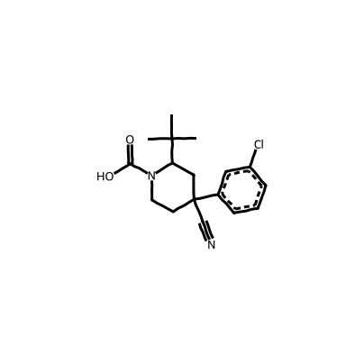 CC(C)(C)C1CC(C#N)(c2cccc(Cl)c2)CCN1C(=O)O